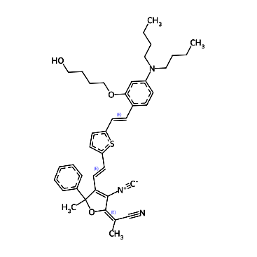 [C-]#[N+]C1=C(/C=C/c2ccc(/C=C/c3ccc(N(CCCC)CCCC)cc3OCCCCO)s2)C(C)(c2ccccc2)O/C1=C(\C)C#N